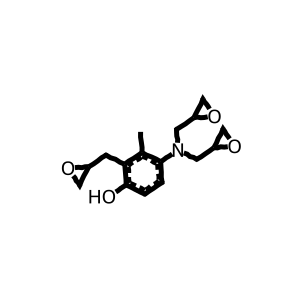 Cc1c(N(CC2CO2)CC2CO2)ccc(O)c1CC1CO1